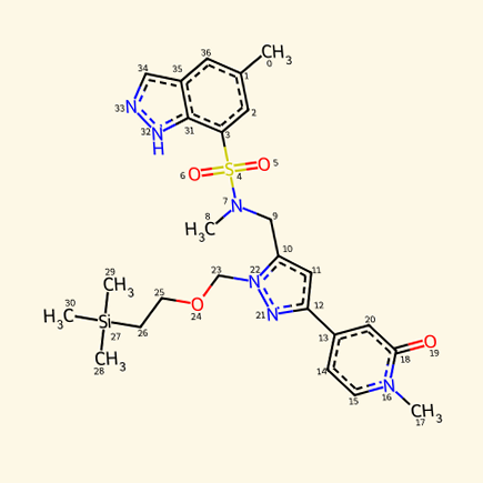 Cc1cc(S(=O)(=O)N(C)Cc2cc(-c3ccn(C)c(=O)c3)nn2COCC[Si](C)(C)C)c2[nH]ncc2c1